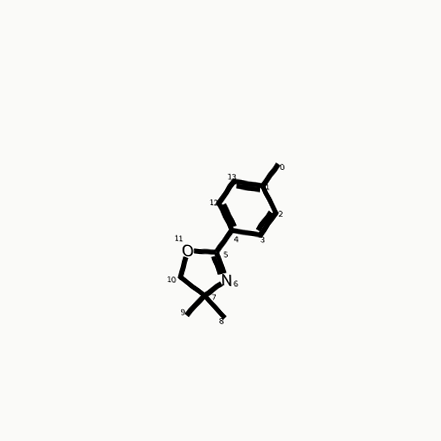 Cc1ccc(C2=NC(C)(C)CO2)cc1